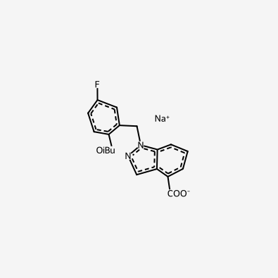 CC(C)COc1ccc(F)cc1Cn1ncc2c(C(=O)[O-])cccc21.[Na+]